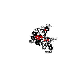 CCCCCCCCCCCCNC(=O)[C@H](CC(=O)NC(c1ccccc1)(c1ccccc1)c1ccccc1)NC(=O)[C@H](Cc1ccc(OC(C)(C)C)cc1)NC(=O)[C@H](CC(C)C)NC(=O)[C@H](Cc1ccc(OC(C)(C)C)cc1)NC(=O)[C@H](COC(C)(C)C)NC(=O)[C@H](Cc1cn(C(=O)OC(C)(C)C)c2ccccc12)NC(=O)[C@H](Cc1ccc(OC(C)(C)C)cc1)NC(=O)[C@H](CC(C)C)NC(C)=O